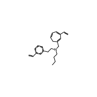 C=CC1=CC=CCC(CN(CCCC)CCc2cccc(C=C)c2)=C1